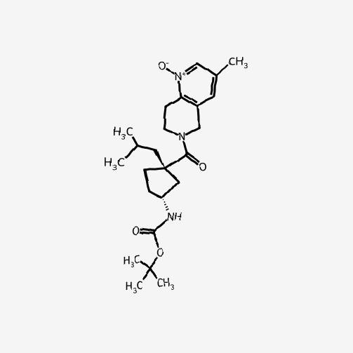 Cc1cc2c([n+]([O-])c1)CCN(C(=O)[C@@]1(CC(C)C)CC[C@@H](NC(=O)OC(C)(C)C)C1)C2